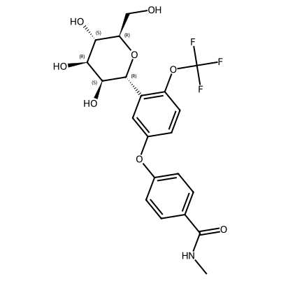 CNC(=O)c1ccc(Oc2ccc(OC(F)(F)F)c([C@H]3O[C@H](CO)[C@@H](O)[C@H](O)[C@@H]3O)c2)cc1